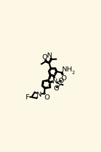 Cc1noc(C)c1-c1cc(C(N)=O)c2c(c1)c1ccc(C(=O)N3CC(F)C3)cc1n2S(C)(=O)=O